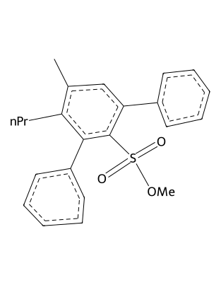 CCCc1c(C)cc(-c2ccccc2)c(S(=O)(=O)OC)c1-c1ccccc1